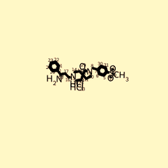 CS(=O)(=O)c1ccc(CN2CCC3(CCN(CCC(N)c4ccccc4)CC3)C2=O)cc1.Cl.Cl